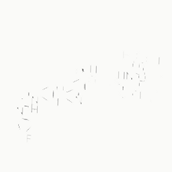 COc1cc2c(Oc3ccc(NC(=O)C4(C(=O)Nc5ccc(F)cc5)CC4)cc3F)ccnc2cc1OCCCSC(=O)[C@@H](NC(=O)OC(C)(C)C)C(C)C